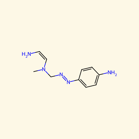 CN(/C=C\N)CN=Nc1ccc(N)cc1